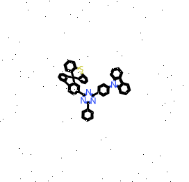 c1ccc(-c2nc(-c3ccc(-n4c5ccccc5c5ccccc54)cc3)nc(-c3ccc4c(c3)C3(c5ccccc5Sc5ccccc53)c3ccccc3-4)n2)cc1